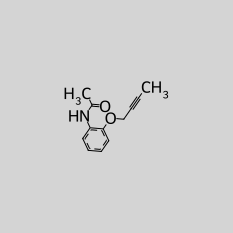 CC#CCOc1ccccc1NC(C)=O